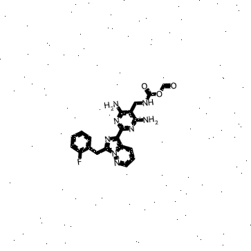 Nc1nc(-c2nc(Cc3ccccc3F)n3ncccc23)nc(N)c1CNC(=O)OC=O